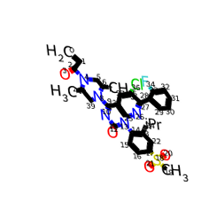 C=CC(=O)N1CC(C)N(c2nc(=O)n(-c3ccc(S(C)(=O)=O)cc3C(C)C)c3nc(-c4ccccc4F)c(Cl)cc23)CC1C